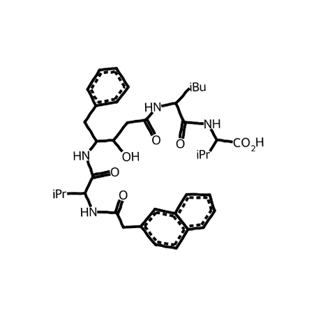 CCC(C)C(NC(=O)CC(O)C(Cc1ccccc1)NC(=O)C(NC(=O)Cc1ccc2ccccc2c1)C(C)C)C(=O)NC(C(=O)O)C(C)C